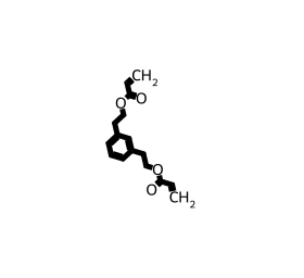 C=CC(=O)OCCc1cccc(CCOC(=O)C=C)c1